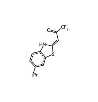 CC(C)c1ccc2c(c1)S/C(=C/C(=O)C(F)(F)F)N2